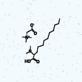 CCCCCCCCCCC(C(=O)O)N(C)C.C[N+](C)(C)CC(=O)[O-]